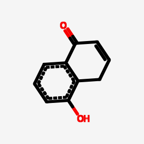 O=C1C=CCc2c(O)cccc21